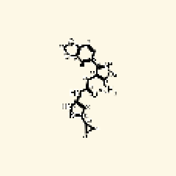 Cc1onc(-c2ccc3c(c2)OCO3)c1CC(=O)Nc1cc(C2CC2)n[nH]1